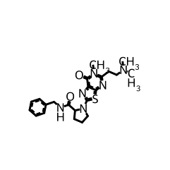 CN(C)CCc1nc2sc(N3CCCC3C(=O)NCc3ccccc3)nc2c(=O)n1C